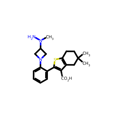 CN(N)C1CN(c2ccccc2-c2sc3c(c2C(=O)O)CC(C)(C)CC3)C1